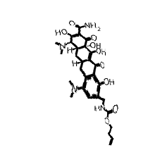 C=CCCOC(=O)NCc1cc(N(C)C)c2c(c1O)C(=O)C1=C(O)[C@]3(O)C(=O)C(C(N)=O)=C(O)[C@H](N(C)C)[C@H]3C[C@H]1C2